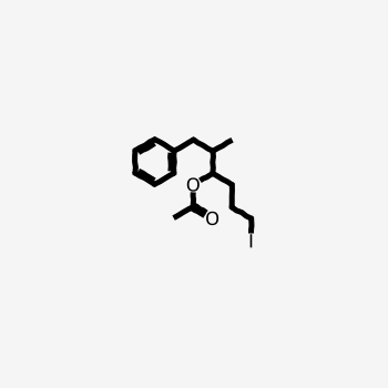 CC(=O)OC(CCCI)C(C)Cc1ccccc1